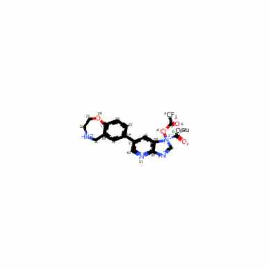 CC(C)COC(=O)[N+]1(OC(=O)C(F)(F)F)C=Nc2ncc(-c3ccc4c(c3)CNCCO4)cc21